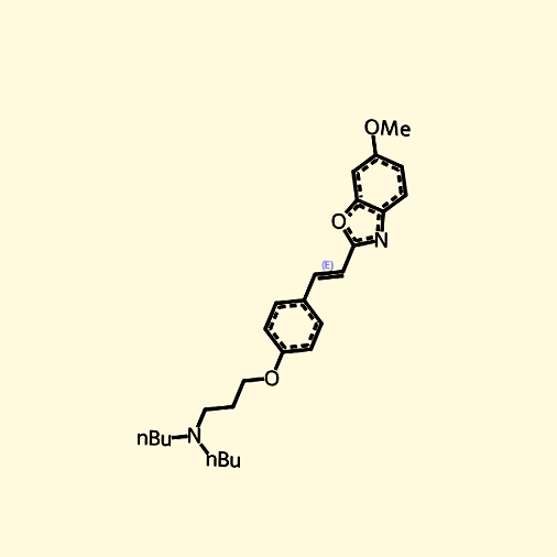 CCCCN(CCCC)CCCOc1ccc(/C=C/c2nc3ccc(OC)cc3o2)cc1